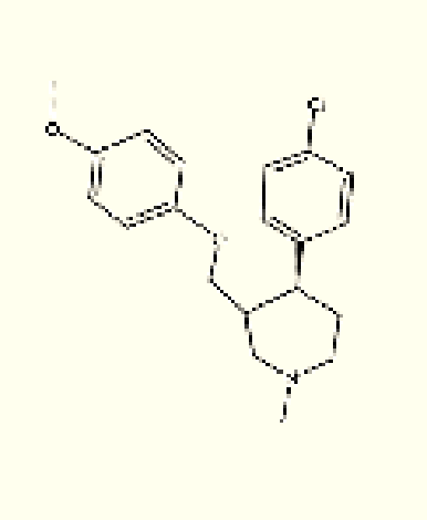 COc1ccc(OCC2CN(C)CC[C@@H]2c2ccc(Cl)cc2)cc1